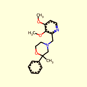 COc1ccnc(CN2CCOC(C)(c3ccccc3)C2)c1OC